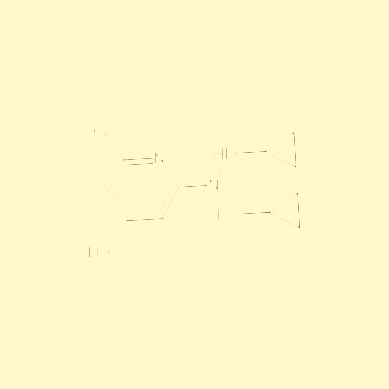 Cc1cc(Cl)nc(N(PC2CC2)PC2CC2)c1